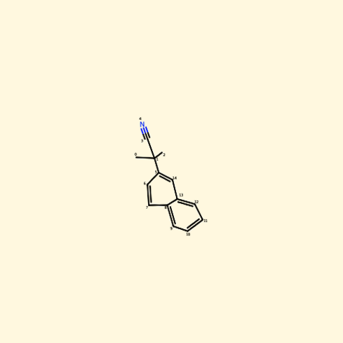 CC(C)(C#N)c1ccc2ccccc2c1